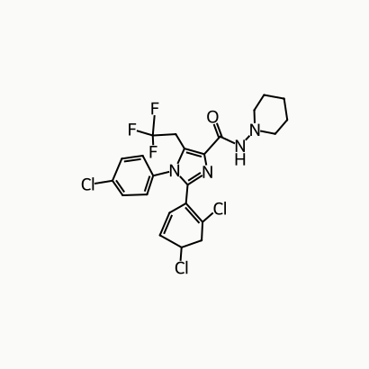 O=C(NN1CCCCC1)c1nc(C2=C(Cl)CC(Cl)C=C2)n(-c2ccc(Cl)cc2)c1CC(F)(F)F